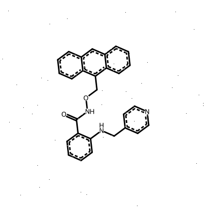 O=C(NOCc1c2ccccc2cc2ccccc12)c1ccccc1NCc1ccncc1